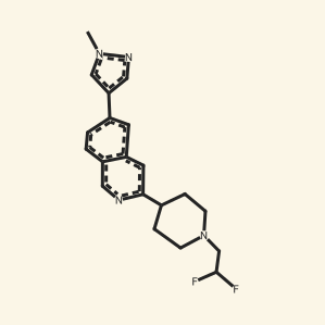 Cn1cc(-c2ccc3cnc(C4CCN(CC(F)F)CC4)cc3c2)cn1